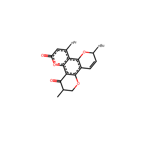 CCCCC1C=Cc2c3c(c4oc(=O)cc(CCC)c4c2O1)C(=O)C(C)CO3